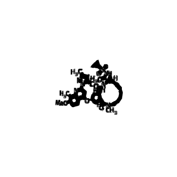 COc1ccc2c(O[C@@H]3C[C@H]4C(=O)N[C@]5(C(=O)NS(=O)(=O)C6CC6)C[C@H]5/C=C\CCCCN(C)C(=O)[C@@H]4C3)cc(-n3nc(C)cc3C)nc2c1C